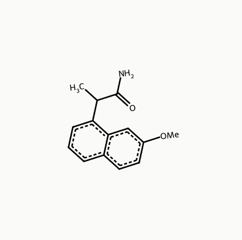 COc1ccc2cccc(C(C)C(N)=O)c2c1